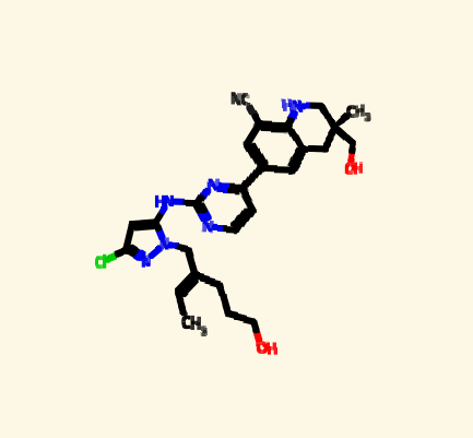 C/C=C(\CCCO)Cn1nc(Cl)cc1Nc1nccc(-c2cc(C#N)c3c(c2)C[C@@](C)(CO)CN3)n1